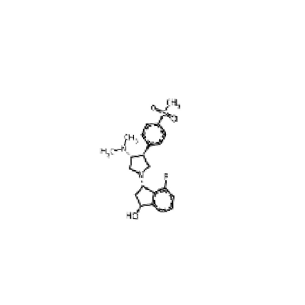 CN(C)[C@H]1CN([C@H]2C[C@H](O)c3cccc(F)c32)C[C@@H]1c1ccc(S(C)(=O)=O)cc1